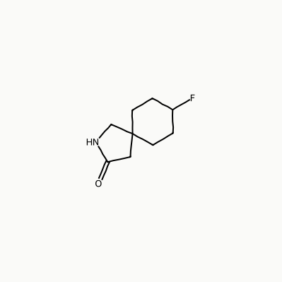 O=C1CC2(CCC(F)CC2)CN1